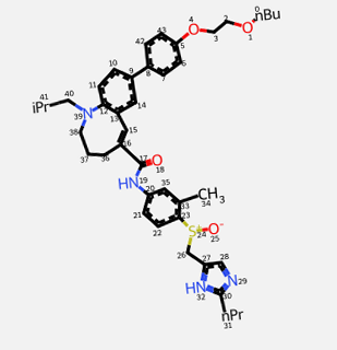 CCCCOCCOc1ccc(-c2ccc3c(c2)/C=C(/C(=O)Nc2ccc([S+]([O-])Cc4cnc(CCC)[nH]4)c(C)c2)CCCN3CC(C)C)cc1